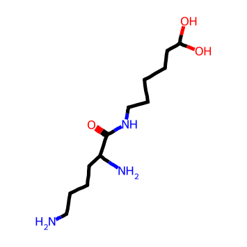 NCCCCC(N)C(=O)NCCCCCC(O)O